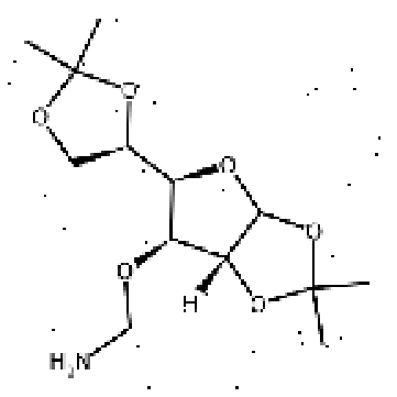 CC1(C)OC[C@H]([C@H]2OC3OC(C)(C)O[C@@H]3[C@H]2OCN)O1